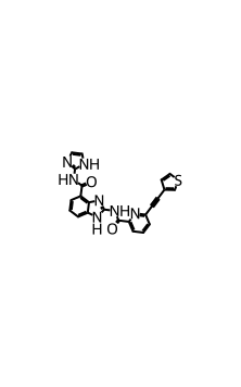 O=C(Nc1nc2c(C(=O)Nc3ncc[nH]3)cccc2[nH]1)c1cccc(C#Cc2ccsc2)n1